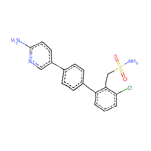 Nc1ccc(-c2ccc(-c3cccc(Cl)c3CS(N)(=O)=O)cc2)cn1